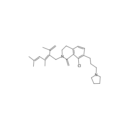 C=C(C)/C(CN1CCc2ccc(CCCN3CCCC3)c(Cl)c2C1=C)=C(/C)C=C(C)C